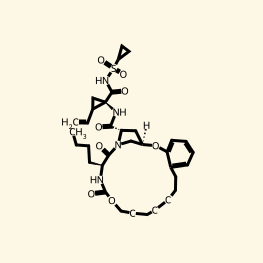 C=CC1C[C@]1(NC(=O)[C@@H]1C[C@@H]2CN1C(=O)[C@H](CCCC)NC(=O)OCCCCCCCc1ccccc1O2)C(=O)NS(=O)(=O)C1CC1